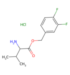 CC(C)C(N)C(=O)OCc1ccc(F)c(F)c1.Cl